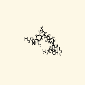 C[C@H](N)c1ccc(C(CC2CC2)N2CC3(CCN(C(=O)OC(C)(C)C)C3)C2)cc1